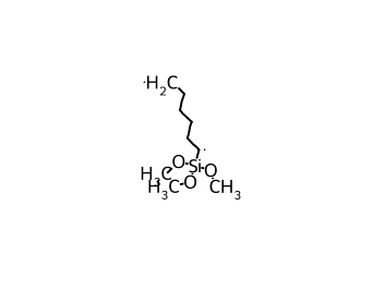 [CH2]CCCC[CH][Si](OC)(OC)OC